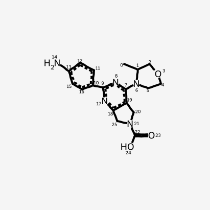 CC1COCCN1c1nc(-c2ccc(N)cc2)nc2c1CN(C(=O)O)C2